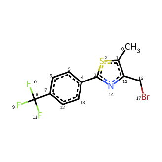 Cc1sc(-c2ccc(C(F)(F)F)cc2)nc1CBr